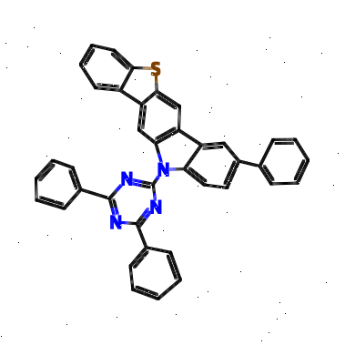 c1ccc(-c2ccc3c(c2)c2cc4sc5ccccc5c4cc2n3-c2nc(-c3ccccc3)nc(-c3ccccc3)n2)cc1